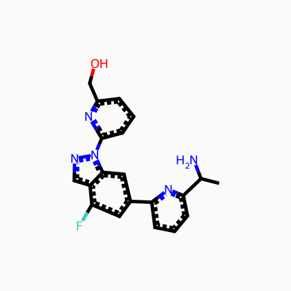 CC(N)c1cccc(-c2cc(F)c3cnn(-c4cccc(CO)n4)c3c2)n1